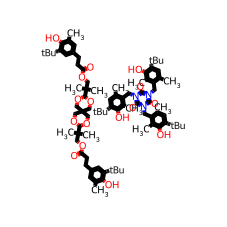 Cc1cc(C(C)(C)C)c(O)c(C)c1Cn1c(=O)n(Cc2c(C)cc(C(C)(C)C)c(O)c2C)c(=O)n(Cc2c(C)cc(C(C)(C)C)c(O)c2C)c1=O.Cc1cc(CCC(=O)OCC(C)(C)C2OCC3(CO2)COC(C(C)(C)COC(=O)CCc2cc(C)c(O)c(C(C)(C)C)c2)OC3)cc(C(C)(C)C)c1O